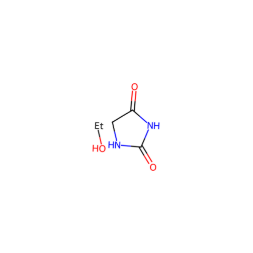 CCO.O=C1CNC(=O)N1